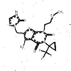 COCCn1c(=O)n(C2(C(F)(F)F)CC2)c(=O)c2c(C)c(Cn3nc[nH]c3=O)sc21